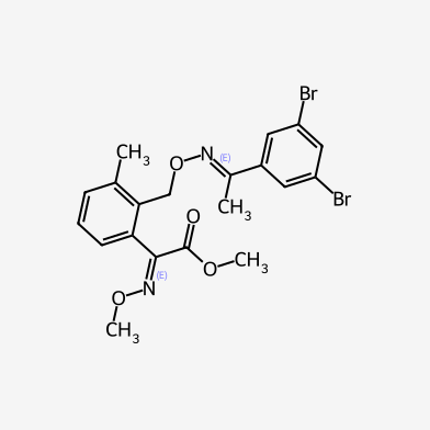 CO/N=C(/C(=O)OC)c1cccc(C)c1CO/N=C(\C)c1cc(Br)cc(Br)c1